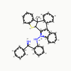 CC12c3ccccc3SC1c1c(c3ccccc3n1Nc1ccccc1C(=N)c1ccccc1)-c1ccccc12